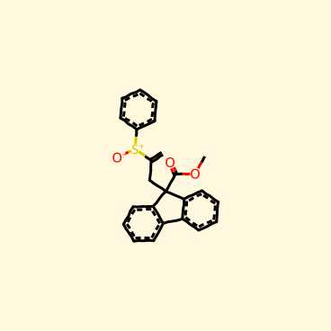 C=C(CC1(C(=O)OC)c2ccccc2-c2ccccc21)[S+]([O-])c1ccccc1